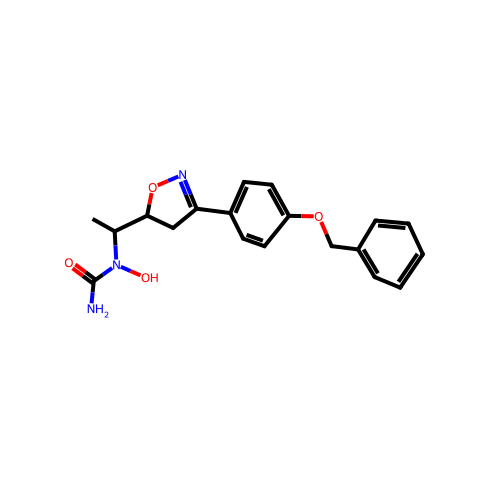 CC(C1CC(c2ccc(OCc3ccccc3)cc2)=NO1)N(O)C(N)=O